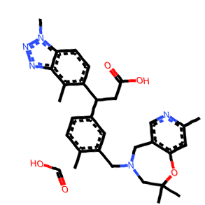 Cc1cc2c(cn1)CN(Cc1cc(C(CC(=O)O)c3ccc4c(nnn4C)c3C)ccc1C)CC(C)(C)O2.O=CO